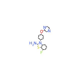 NC1Sc2c(F)cccc2N1c1ccc(Oc2cnccn2)cc1